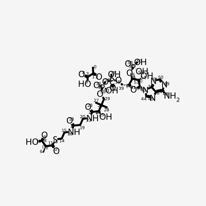 CC(=O)C(=O)O.C[C@@H](C(=O)O)C(=O)SCCNC(=O)CCNC(=O)[C@H](O)C(C)(C)COP(=O)(O)OP(=O)(O)OC[C@H]1O[C@@H](n2cnc3c(N)ncnc32)[C@H](O)[C@@H]1OP(=O)(O)O